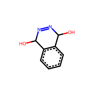 OC1N=NC(O)c2ccccc21